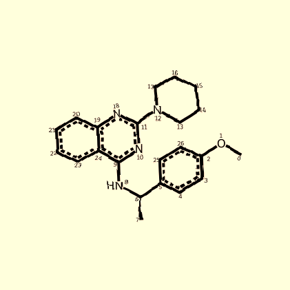 COc1ccc([C@@H](C)Nc2nc(N3CCCCC3)nc3ccccc23)cc1